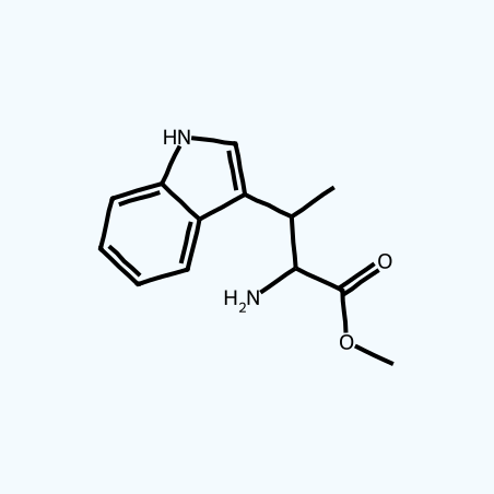 COC(=O)C(N)C(C)c1c[nH]c2ccccc12